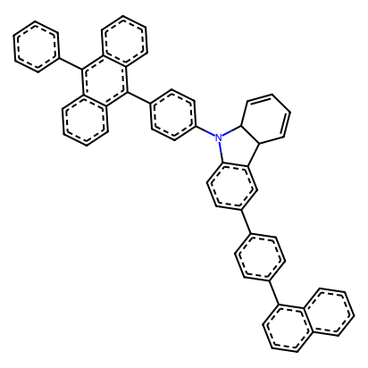 C1=CC2c3cc(-c4ccc(-c5cccc6ccccc56)cc4)ccc3N(c3ccc(-c4c5ccccc5c(-c5ccccc5)c5ccccc45)cc3)C2C=C1